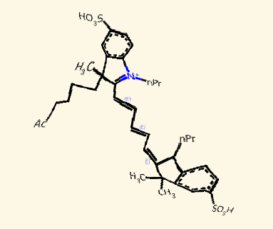 CCCC1\C(=C/C=C/C=C/C2=[N+](CCC)c3ccc(S(=O)(=O)O)cc3C2(C)CCCCC(C)=O)C(C)(C)c2cc(S(=O)(=O)O)ccc21